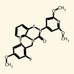 COc1cc(F)c(CN2C(=O)N(c3cc(OC)nc(OC)c3)Sc3cccnc32)c(F)c1